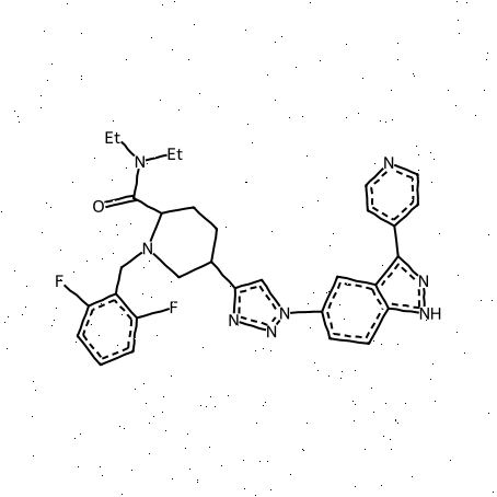 CCN(CC)C(=O)C1CCC(c2cn(-c3ccc4[nH]nc(-c5ccncc5)c4c3)nn2)CN1Cc1c(F)cccc1F